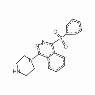 O=S(=O)(c1ccccc1)c1nnc(N2CCNCC2)c2ccccc12